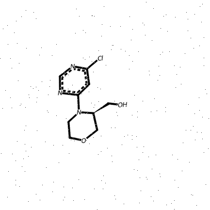 OC[C@H]1COCCN1c1cc(Cl)ncn1